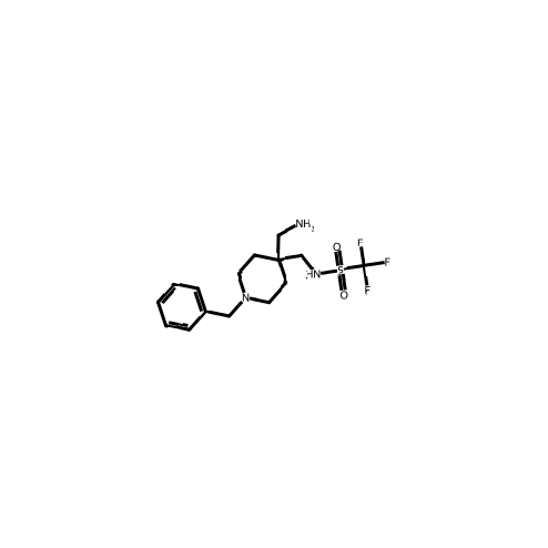 NCC1(CNS(=O)(=O)C(F)(F)F)CCN(Cc2ccccc2)CC1